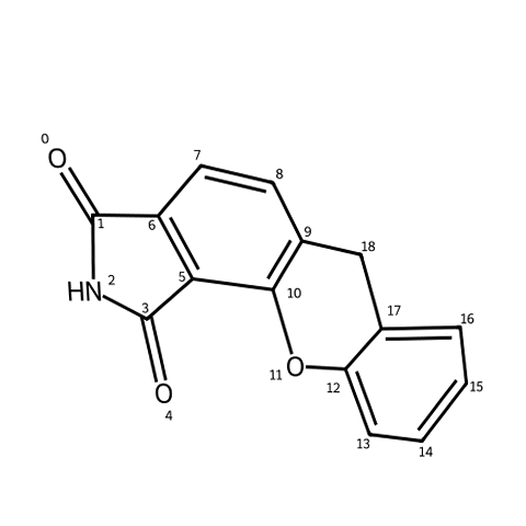 O=C1NC(=O)c2c1ccc1c2Oc2ccccc2C1